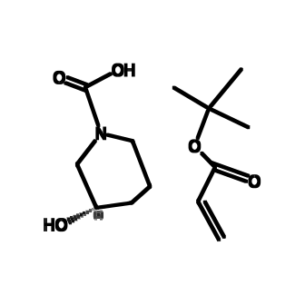 C=CC(=O)OC(C)(C)C.O=C(O)N1CCC[C@H](O)C1